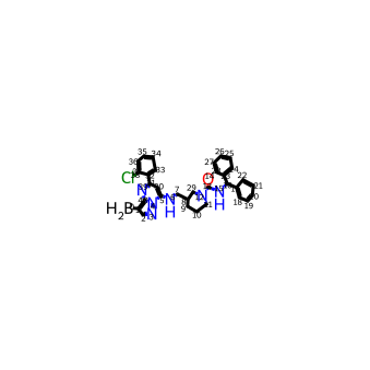 Bc1cnn2c(NCC3CCCN(C(=O)NC(c4ccccc4)c4ccccc4)C3)cc(-c3ccccc3Cl)nc12